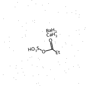 CCC(=O)OS(=O)(=O)O.[BaH2].[CaH2]